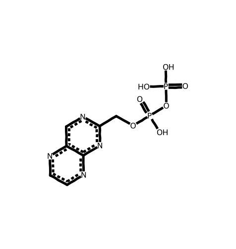 O=P(O)(O)OP(=O)(O)OCc1ncc2nccnc2n1